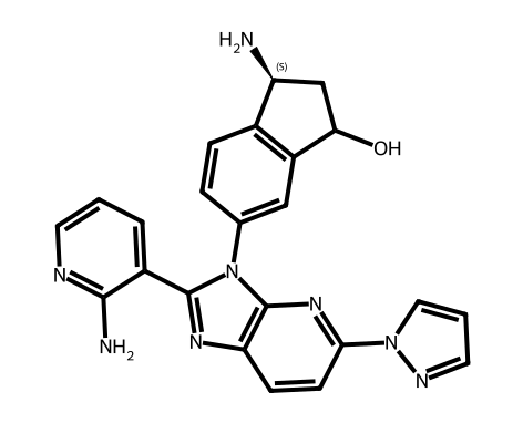 Nc1ncccc1-c1nc2ccc(-n3cccn3)nc2n1-c1ccc2c(c1)C(O)C[C@@H]2N